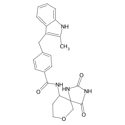 Cc1[nH]c2ccccc2c1Cc1ccc(C(=O)NC2CCOCC23NC(=O)NC3=O)cc1